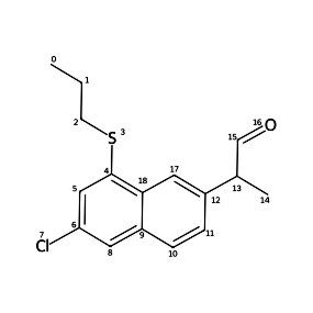 CCCSc1cc(Cl)cc2ccc(C(C)C=O)cc12